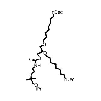 CCCCCCCCCCCCCCCCCCOCC(COC(=O)NCCOC(C)(C)COC(C)C)OCCCCCCCCCCCCCCCCCC